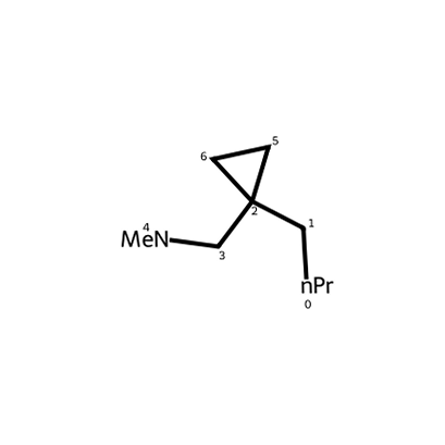 CCCCC1(CNC)CC1